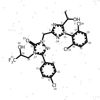 CC(O)c1nc(Cn2nc(-c3ccc(Cl)cc3)n(CC(O)C(F)(F)F)c2=O)nn1-c1c(Cl)cccc1Cl